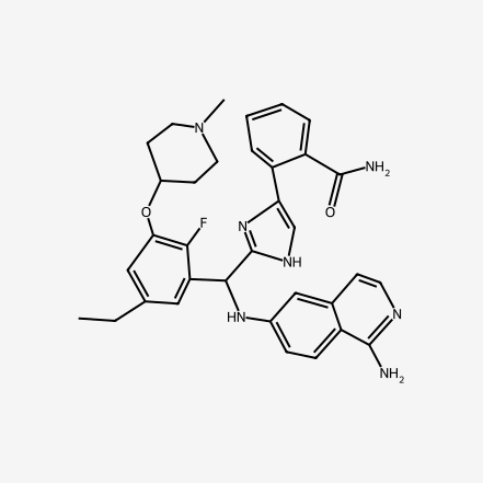 CCc1cc(OC2CCN(C)CC2)c(F)c(C(Nc2ccc3c(N)nccc3c2)c2nc(-c3ccccc3C(N)=O)c[nH]2)c1